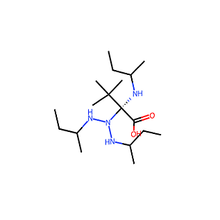 CCC(C)NN(NC(C)CC)[C@](NC(C)CC)(C(=O)O)C(C)(C)C